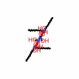 CCCCCCCCCCCCC(O)CN(CCOC(=O)CCN(CCO)CCN(CCO)CCC(=O)OCCN(CC(O)CCCCCCCCCCCC)CC(O)CCCCCCCCCCCC)CC(O)CCCCCCCCCCCC